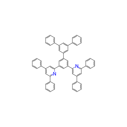 c1ccc(-c2cc(-c3ccccc3)cc(-c3cc(-c4cc(-c5ccccc5)cc(-c5ccccc5)n4)cc(-c4cc(-c5ccccc5)cc(-c5ccccc5)n4)c3)c2)cc1